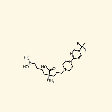 CC(F)(F)c1ccc(N2CCN(CCCC(N)(CCCCB(O)O)C(=O)O)CC2)nc1